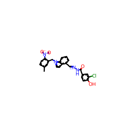 Cc1ccc([N+](=O)[O-])c(Cn2ccc3c(/C=N/NC(=O)c4ccc(O)c(Cl)c4)cccc32)c1